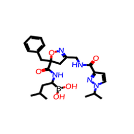 CC(C)CC(NC(=O)C1(Cc2ccccc2)CC(CNC(=O)c2ccn(C(C)C)n2)=NO1)B(O)O